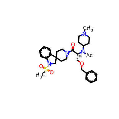 CC(=O)N(C1CCN(C)CC1)[C@H](COCc1ccccc1)C(=O)N1CCC2(CC1)CN(S(C)(=O)=O)c1ccccc12